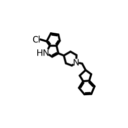 Clc1cccc2c(C3CCN(CC4Cc5ccccc5C4)CC3)c[nH]c12